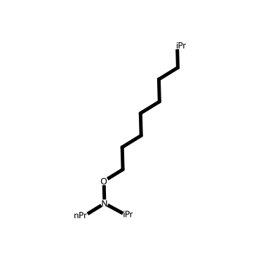 CCCN(OCCCCCCCC(C)C)C(C)C